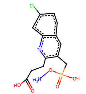 NOP(=O)(O)Cc1cc2ccc(Cl)cc2nc1CCC(=O)O